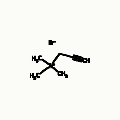 C#CC[N+](C)(C)C.[Br-]